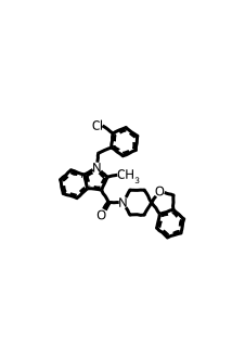 Cc1c(C(=O)N2CCC3(CC2)OCc2ccccc23)c2ccccc2n1Cc1ccccc1Cl